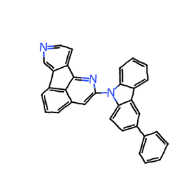 c1ccc(-c2ccc3c(c2)c2ccccc2n3-c2cc3cccc4c3c(n2)-c2ccncc2-4)cc1